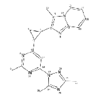 Cc1nc(C2CC2c2nc3ccccn3c2C)cc(-n2nc(C)nc2C)n1